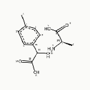 C[C@@H](N)C(=O)O.Cc1ccc(C(O)C(=O)O)cc1